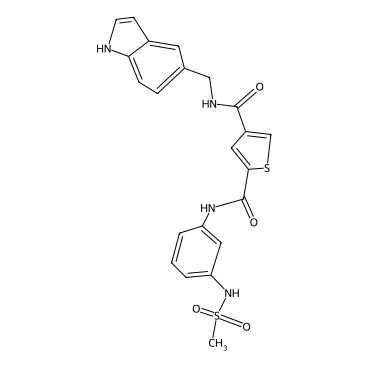 CS(=O)(=O)Nc1cccc(NC(=O)c2cc(C(=O)NCc3ccc4[nH]ccc4c3)cs2)c1